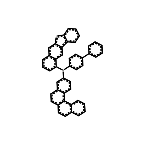 c1ccc(-c2ccc(N(c3ccc4c(ccc5ccc6ccccc6c54)c3)c3cccc4cc5sc6ccccc6c5cc34)cc2)cc1